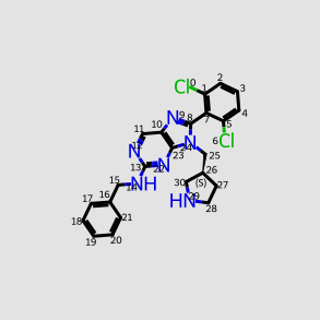 Clc1cccc(Cl)c1-c1nc2cnc(NCc3ccccc3)nc2n1C[C@H]1CCNC1